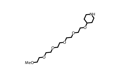 COCCOCCOCCOCCOCCOC1CCNCC1